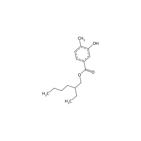 CCCCC(CC)COC(=O)c1ccc(C)c(O)c1